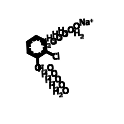 O.O.O.O.O.O.O.O.O.O.[Na+].[O-]c1ccccc1Cl